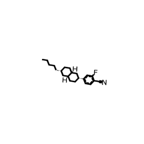 CCCCC[C@@H]1CC[C@@H]2C[C@H](c3ccc(C#N)c(F)c3)CC[C@@H]2C1